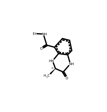 CCNC(=O)c1cccc2c1N[C@H](C)C(=O)N2